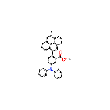 CCOC(=O)c1cc(N(c2ccccc2)c2ccccc2C)ccc1-c1cc2cccc3c(C)cc4cccc1c4c23